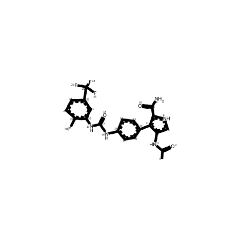 CC(=O)Nc1c[nH]c(C(N)=O)c1-c1ccc(NC(=O)Nc2cc(C(F)(F)F)ccc2F)cc1